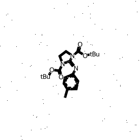 Cc1ccc(N=C2N(C(=O)OC(C)(C)C)CCN2C(=O)OC(C)(C)C)cc1